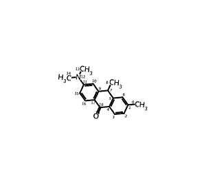 Cc1ccc2c(c1)C(C)c1cc(N(C)C)ccc1C2=O